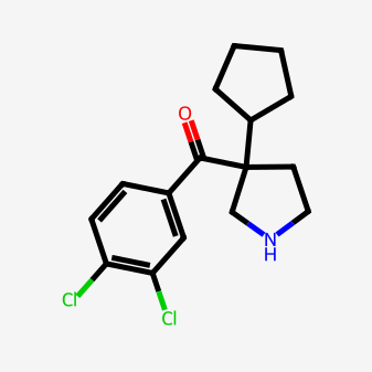 O=C(c1ccc(Cl)c(Cl)c1)C1(C2CCCC2)CCNC1